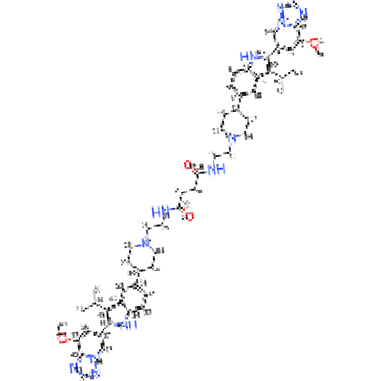 COc1cc(-c2[nH]c3ccc(C4CCN(CCNC(=O)CCC(=O)NCCN5CCC(c6ccc7[nH]c(-c8cc(OC)c9ncnn9c8)c(C(C)C)c7c6)CC5)CC4)cc3c2C(C)C)cn2ncnc12